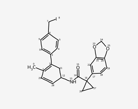 CC1=C(c2ccc(CI)cc2)CC(NC(=O)C2(c3ccc4c(c3)OCO4)CC2)C=C1